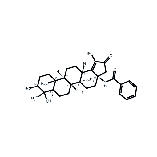 CC(C)C1=C2[C@H]3CC[C@@H]4[C@@]5(C)CC[C@H](O)C(C)(C)[C@@H]5CC[C@@]4(C)[C@]3(C)CC[C@@]2(NC(=O)c2ccccc2)CC1=O